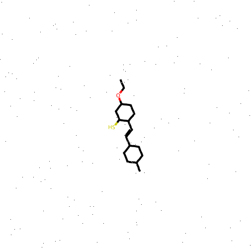 CCOC1CCC(C=CC2CCC(C)CC2)C(S)C1